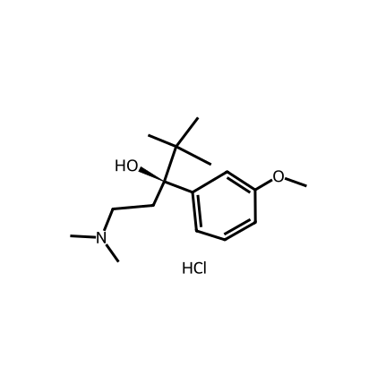 COc1cccc([C@](O)(CCN(C)C)C(C)(C)C)c1.Cl